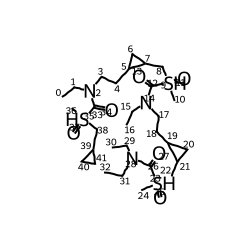 CCN(CCC1CC1C[SH](C)(=O)C(=O)N(CC)CCC1CC1C[SH](C)(=O)C(=O)N(CC)CC)C(=O)[SH](C)(=O)CC1CC1